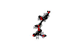 CCOC(=O)/C=C/CC[C@H](NC(=O)c1ccccc1)C(=O)Nc1cccn(CC(=O)N[C@H](C(=O)OC(=O)C=CCCC(NC(=O)c2cncn2C)C(=O)Nc2cccn(CC(=O)NCC(CC)CC)c2=O)[C@H](C)CC)c1=O